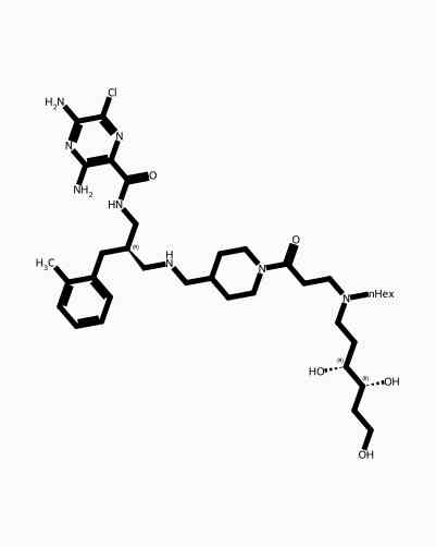 CCCCCCN(CCC(=O)N1CCC(CNC[C@H](CNC(=O)c2nc(Cl)c(N)nc2N)Cc2ccccc2C)CC1)CC[C@@H](O)[C@H](O)CCO